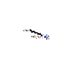 CCCCCCCCCCCCCCCCCCNC[N+](C)(C)CC.O=S(=O)([O-])O